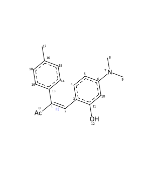 CC(=O)/C(=C/c1ccc(N(C)C)cc1O)c1ccc(C)cc1